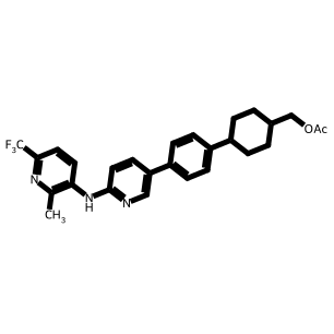 CC(=O)OCC1CCC(c2ccc(-c3ccc(Nc4ccc(C(F)(F)F)nc4C)nc3)cc2)CC1